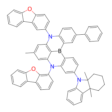 Cc1cc2c3c(c1)N(c1cccc4c1oc1ccccc14)c1cc(N4c5ccccc5C5(C)CCCCC45C)ccc1B3c1cc(-c3ccccc3)ccc1N2c1ccc2oc3ccccc3c2c1